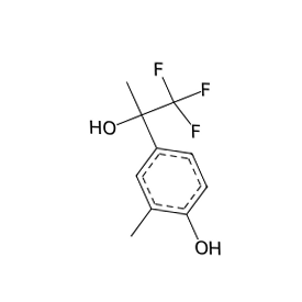 Cc1cc(C(C)(O)C(F)(F)F)ccc1O